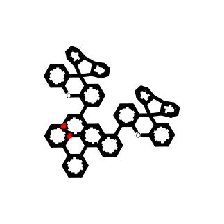 c1ccc(-c2ccccc2-c2c3cccc(-c4cccc5c4Oc4ccccc4C54c5ccccc5-c5ccccc54)c3cc3c(-c4cccc5c4Oc4ccccc4C54c5ccccc5-c5ccccc54)cccc23)cc1